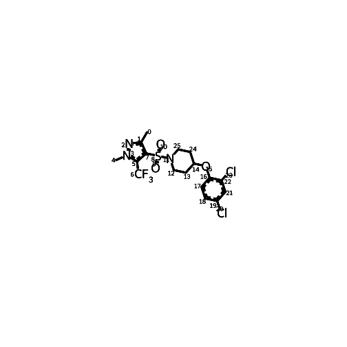 Cc1nn(C)c(C(F)(F)F)c1S(=O)(=O)N1CCC(Oc2ccc(Cl)cc2Cl)CC1